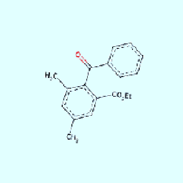 CCOC(=O)c1cc(C)cc(C)c1C(=O)c1ccccc1